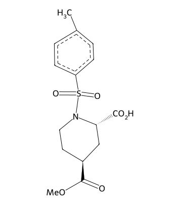 COC(=O)[C@H]1CCN(S(=O)(=O)c2ccc(C)cc2)[C@H](C(=O)O)C1